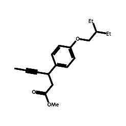 CC#CC(CC(=O)OC)c1ccc(OCC(CC)CC)cc1